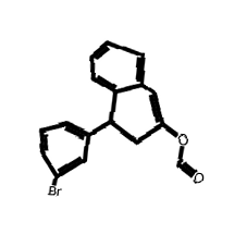 O=COC1=Cc2ccccc2C(c2cccc(Br)c2)C1